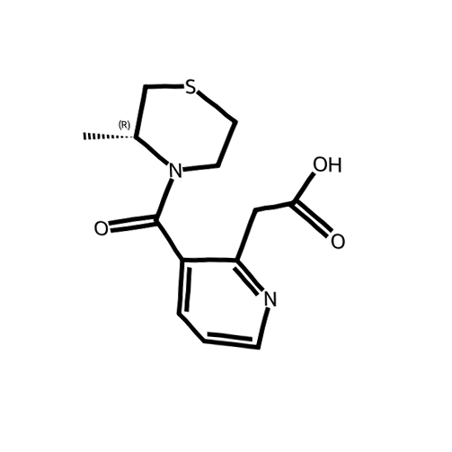 C[C@@H]1CSCCN1C(=O)c1cccnc1CC(=O)O